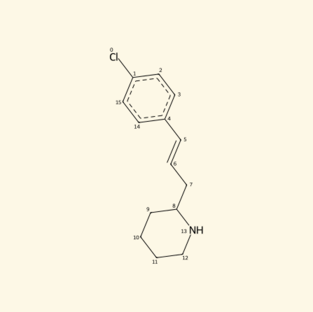 Clc1ccc(C=CCC2CCCCN2)cc1